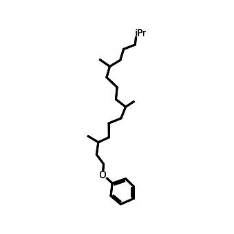 CC(C)CCCC(C)CCCC(C)CCCC(C)CCOc1ccccc1